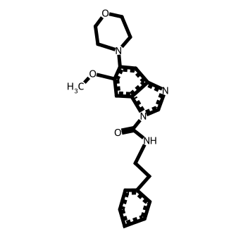 COc1cc2c(cc1N1CCOCC1)ncn2C(=O)NCCc1ccccc1